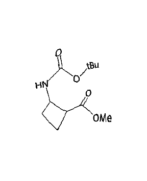 COC(=O)C1CCC1NC(=O)OC(C)(C)C